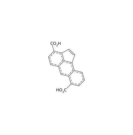 O=C(O)c1ccc2cc3c(C(=O)O)cccc3c3c2c1C=C3